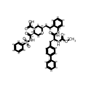 COC(=O)N[C@@H](Cc1ccc(-c2ccccc2)cc1)C(=O)Nc1ccccc1CC[C@@H]1CN(C(=O)O)[C@H](C(=O)NS(=O)(=O)c2ccccc2)CO1